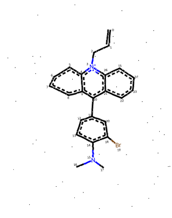 C=CC[n+]1c2ccccc2c(-c2ccc(N(C)C)c(Br)c2)c2ccccc21